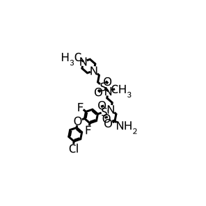 CN1CCN(CCS(=O)(=O)N(C)CCN(CC(N)=O)S(=O)(=O)c2cc(F)c(Oc3ccc(Cl)cc3)c(F)c2)CC1